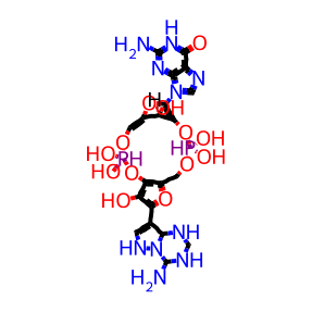 Nc1nc2c(ncn2C2=C3O[PH](O)(O)OCc4oc(C5=CNN6C(N)NCNC56)c(O)c4O[PH](O)(O)O/C=C(/O2)[C@H]3O)c(=O)[nH]1